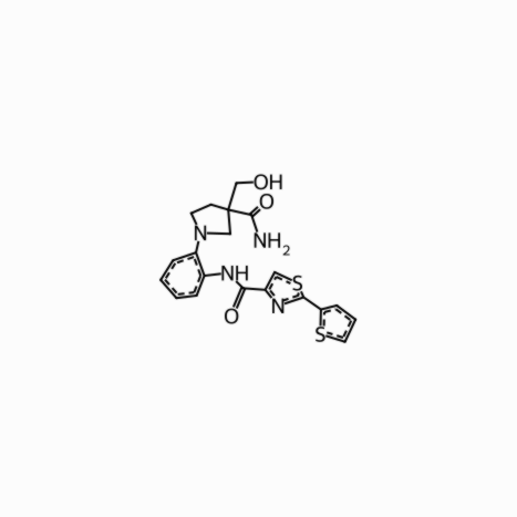 NC(=O)C1(CO)CCN(c2ccccc2NC(=O)c2csc(-c3cccs3)n2)C1